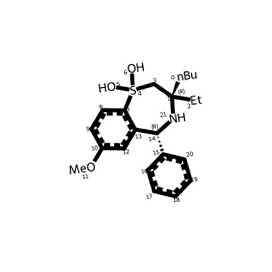 CCCC[C@]1(CC)CS(O)(O)c2c[c]c(OC)cc2[C@@H](c2ccccc2)N1